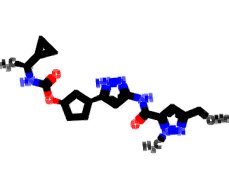 COCc1cc(C(=O)Nc2cc([C@H]3CC[C@@H](OC(=O)N[C@@H](C)C4CC4)C3)[nH]n2)n(C)n1